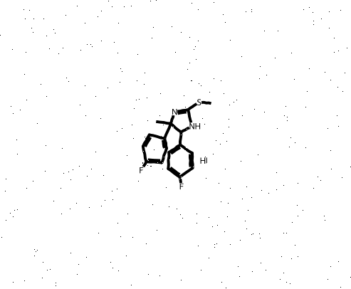 CSC1=NC(C)(c2ccc(F)cc2)C(c2ccc(F)cc2)N1.I